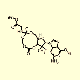 CCOC1=NC(N)=NC2C1N=CN2[C@@H]1O[C@@H]2COP(=O)(NCC(=O)OC(C)C)OCOC(=O)OC2C1(C)F